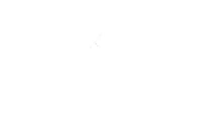 O=C1CCC(=O)N1CCCCC[C@@H]1CCSS1